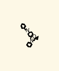 CN(Cc1ccccc1)C1CCC2(CC1)CN(c1ccccc1)CC1(CC1)O2